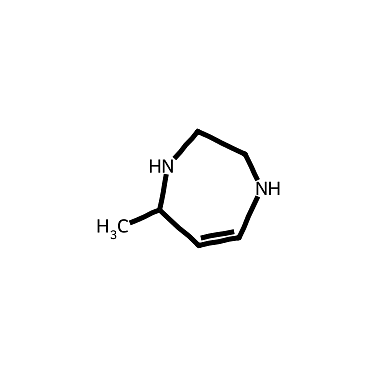 CC1C=CNCCN1